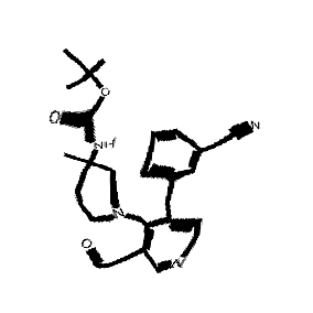 CC1(NC(=O)OC(C)(C)C)CCN(c2c(C=O)cncc2-c2cccc(C#N)c2)C1